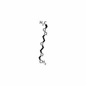 C=COOCCOCCOCC